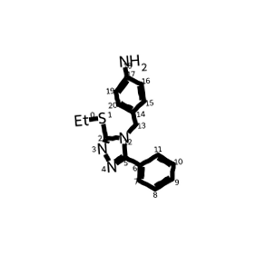 CCSc1nnc(-c2ccccc2)n1Cc1ccc(N)cc1